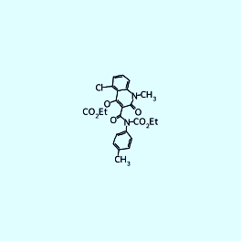 CCOC(=O)Oc1c(C(=O)N(C(=O)OCC)c2ccc(C)cc2)c(=O)n(C)c2cccc(Cl)c12